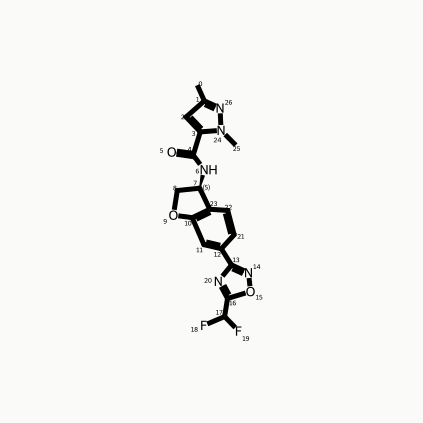 Cc1cc(C(=O)N[C@@H]2COc3cc(-c4noc(C(F)F)n4)ccc32)n(C)n1